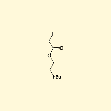 CCCCCCOC(=O)CI